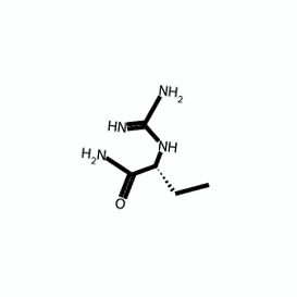 CC[C@@H](NC(=N)N)C(N)=O